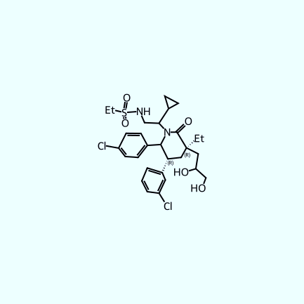 CC[C@]1(CC(O)CO)C[C@H](c2cccc(Cl)c2)C(c2ccc(Cl)cc2)N(C(CNS(=O)(=O)CC)C2CC2)C1=O